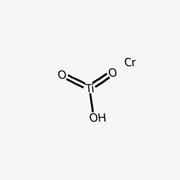 [Cr].[O]=[Ti](=[O])[OH]